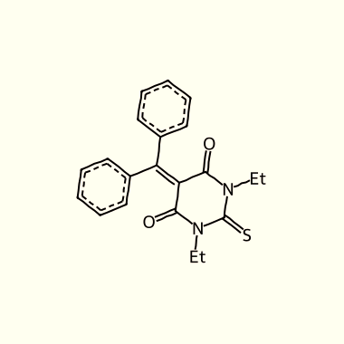 CCN1C(=O)C(=C(c2ccccc2)c2ccccc2)C(=O)N(CC)C1=S